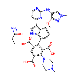 CCC(N)=O.COc1nn(C)cc1Nc1nccc(-c2c[nH]c3c(-c4c(C(=O)O)cc(C(=O)O)c(N5CCN(C)CC5)c4C(=O)O)cccc23)n1